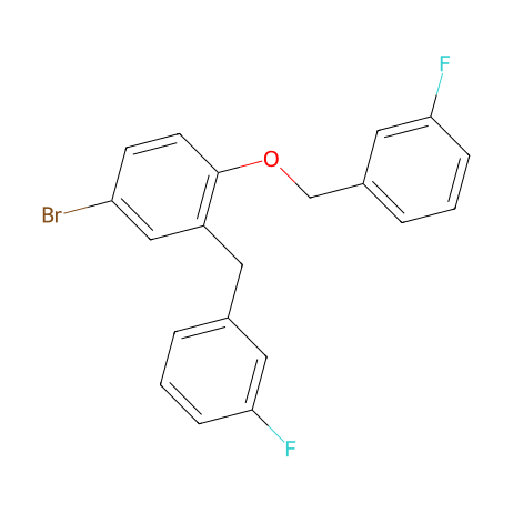 Fc1cccc(COc2ccc(Br)cc2Cc2cccc(F)c2)c1